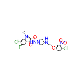 O=C(NN1CCC(NCCOc2ccc(Cl)c([N+](=O)[O-])c2)CC1)c1cn(C2CC2)c2cc(Cl)c(F)cc2c1=O